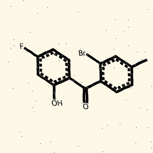 Cc1ccc(C(=O)c2ccc(F)cc2O)c(Br)c1